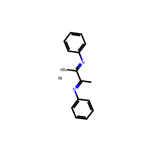 CCCCC(=N\c1ccccc1)/C(C)=N/c1ccccc1.[Ni]